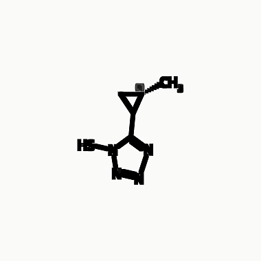 C[C@H]1CC1c1nnnn1S